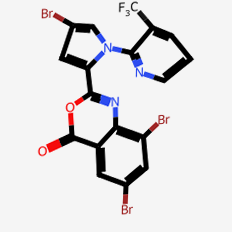 O=c1oc(-c2cc(Br)cn2-c2ncccc2C(F)(F)F)nc2c(Br)cc(Br)cc12